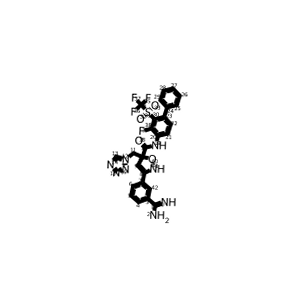 N=C(N)c1cccc(C2=CC(Cn3cnnn3)(C(=O)Nc3ccc(-c4ccccc4)c(S(=O)(=O)C(F)(F)F)c3F)ON2)c1